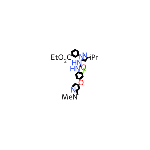 CCOC(=O)c1cccc(-n2nc(C(C)C)cc2NC(=O)Nc2ccc(Oc3ccnc(CNC)c3)cc2F)c1